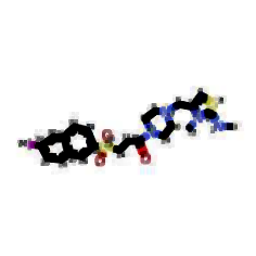 C/N=c1\scc(CN2CCN(C(=O)CCS(=O)(=O)c3ccc4cc(I)ccc4c3)CC2)n1C